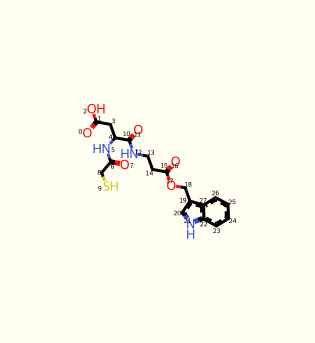 O=C(O)CC(NC(=O)CS)C(=O)NCCC(=O)OCc1c[nH]c2ccccc12